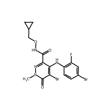 Cn1nc(C(=O)NOCC2CC2)c(Nc2ccc(Br)cc2F)c(Br)c1=O